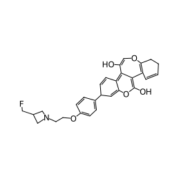 OC1=COC2=C(C=CCC2)C2=C(O)OC3=CC(c4ccc(OCCN5CC(CF)C5)cc4)C=CC3=C12